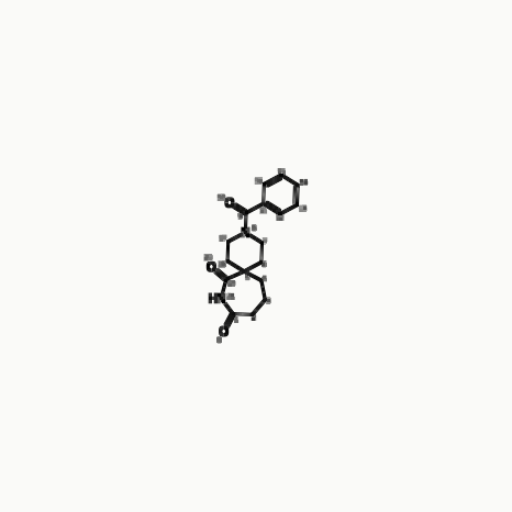 O=C1CCCC2(CCN(C(=O)c3ccccc3)CC2)C(=O)N1